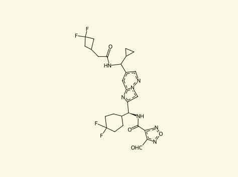 O=Cc1nonc1C(=O)N[C@H](c1cn2ncc(C(NC(=O)CC3CC(F)(F)C3)C3CC3)cc2n1)C1CCC(F)(F)CC1